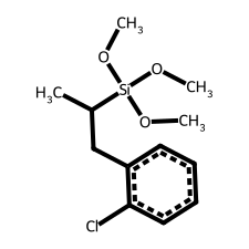 CO[Si](OC)(OC)C(C)Cc1ccccc1Cl